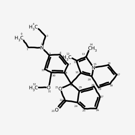 CCN(CC)c1ccc(C2(c3c(C)c(C)n4ccccc34)OC(=O)c3ccccc32)c(OC)c1